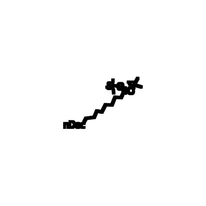 CCCCCCCCCCCCCCCCCCB(O[Si](C)(C)C)O[Si](C)(C)C